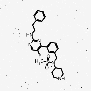 CS(=O)(=O)N(Cc1cccc(-c2nc(NCCc3ccccc3)ncc2F)c1)C1CCNCC1